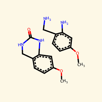 COc1ccc(CN)c(N)c1.COc1ccc2c(c1)NC(=O)NC2